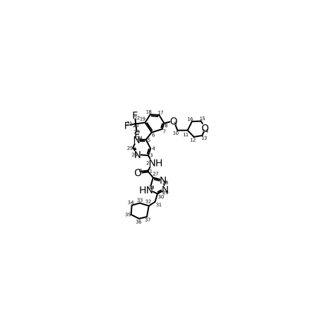 O=C(Nc1cc(-c2cc(OCC3CCOCC3)ccc2C(F)(F)F)ncn1)c1nnc(CC2CCCCC2)[nH]1